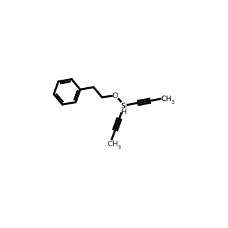 CC#C[SiH](C#CC)OCCc1ccccc1